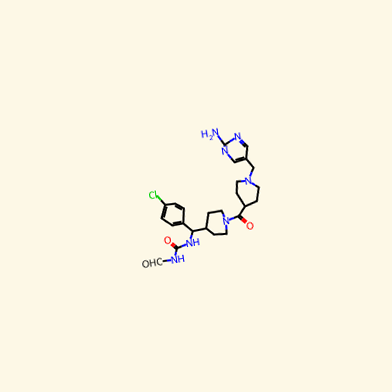 Nc1ncc(CN2CCC(C(=O)N3CCC(C(NC(=O)NC=O)c4ccc(Cl)cc4)CC3)CC2)cn1